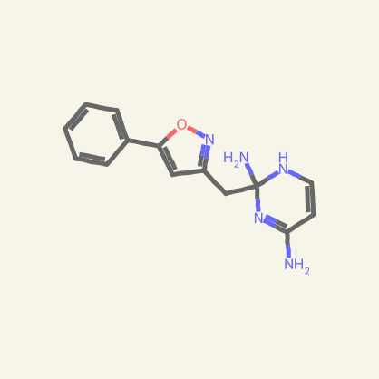 NC1=NC(N)(Cc2cc(-c3ccccc3)on2)NC=C1